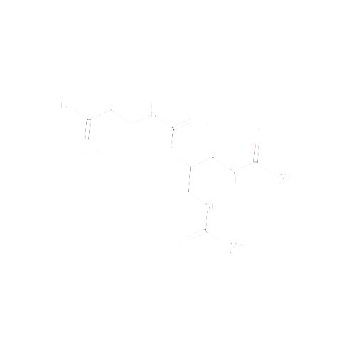 C=C(NCCC(=C)C(C)(C)C)OC(CNC(=O)OC)CNC(=O)OC